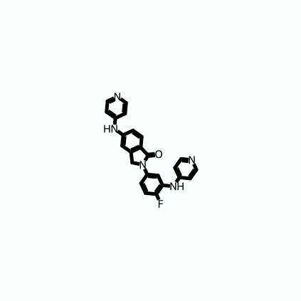 O=C1c2ccc(Nc3ccncc3)cc2CN1c1ccc(F)c(Nc2ccncc2)c1